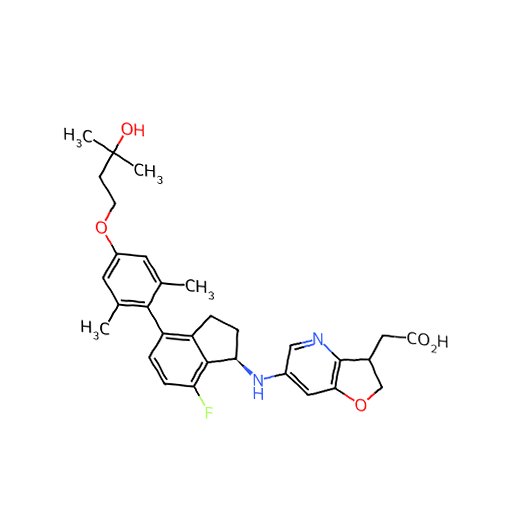 Cc1cc(OCCC(C)(C)O)cc(C)c1-c1ccc(F)c2c1CC[C@H]2Nc1cnc2c(c1)OCC2CC(=O)O